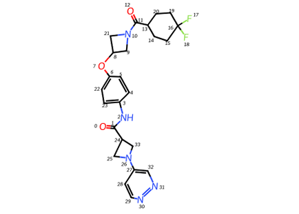 O=C(Nc1ccc(OC2CN(C(=O)C3CCC(F)(F)CC3)C2)cc1)C1CN(c2ccnnc2)C1